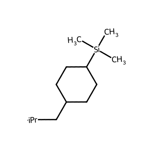 C[C](C)CC1CCC([Si](C)(C)C)CC1